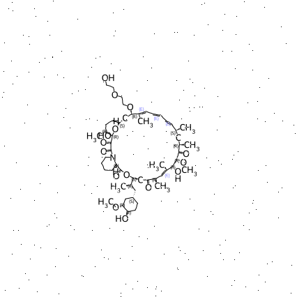 CO[C@@H]1C[C@H](C[C@@H](C)[C@@H]2CC(=O)[C@H](C)/C=C(\C)[C@@H](O)[C@@H](OC)C(=O)[C@H](C)C[C@H](C)/C=C/C=C/C=C(\C)[C@H](OCCOCCO)C[C@@H]3CC[C@@H](C)[C@@](O)(O3)C(=O)C(=O)N3CCCC[C@H]3C(=O)O2)CC[C@H]1O